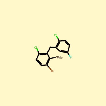 CNc1c(Br)ccc(Cl)c1Cc1cc(F)ccc1Cl